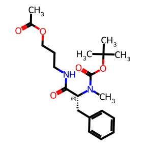 CC(=O)OCCCNC(=O)[C@@H](Cc1ccccc1)N(C)C(=O)OC(C)(C)C